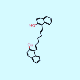 Oc1ccc2ccccc2c1C=CCCCC=Cc1c(O)ccc2ccccc12